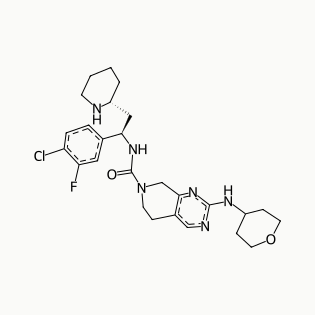 O=C(N[C@H](C[C@H]1CCCCN1)c1ccc(Cl)c(F)c1)N1CCc2cnc(NC3CCOCC3)nc2C1